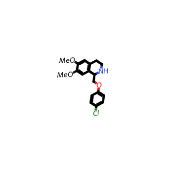 COc1cc2c(cc1OC)C(COc1ccc(Cl)cc1)NCC2